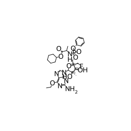 CCOc1nc(N)nc2c1ncn2C1O[C@](CF)(COP(=O)(NC(C)C(=O)OC2CCCCC2)Oc2ccccc2)[C@@H](O)[C@@]1(C)O